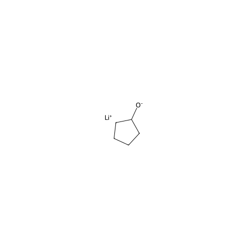 [Li+].[O-]C1CCCC1